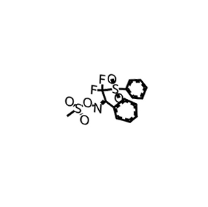 CS(=O)(=O)ON=C(c1ccccc1)C(F)(F)S(=O)(=O)c1ccccc1